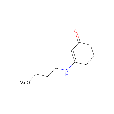 COCCCNC1=CC(=O)CCC1